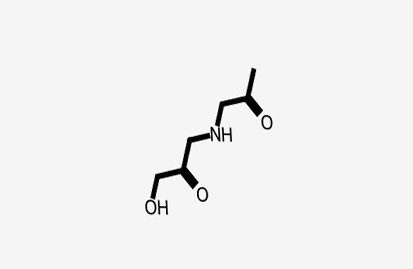 CC(=O)CNCC(=O)CO